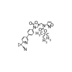 CC(C)(C)OC(=O)N(C[C@H]1CN(c2ccc(-c3ccc(C4(C#N)CC4)nc3)cc2)C(=O)O1)c1ccon1